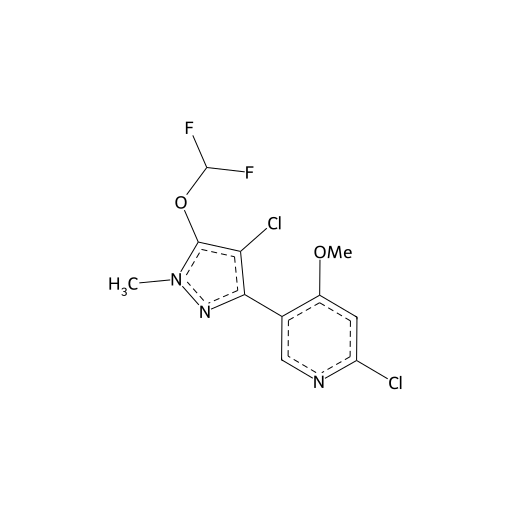 COc1cc(Cl)ncc1-c1nn(C)c(OC(F)F)c1Cl